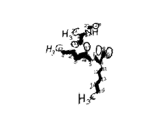 CCCC=C(C[C@@H]1OC(=O)[C@H]1CCCCCC)OC(=O)[C@H](C)NC=O